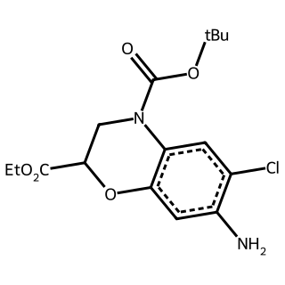 CCOC(=O)C1CN(C(=O)OC(C)(C)C)c2cc(Cl)c(N)cc2O1